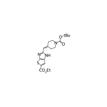 CCOC(=O)c1cc2[nH]c(C=C3CCN(C(=O)OC(C)(C)C)CC3)nc2s1